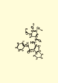 COc1cc(C(=O)Nc2sc3c(c2C(=O)Nc2ccccc2)CCCC3)cc(OC)c1OC